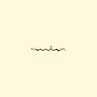 C=CCCCCNC/C=C/C